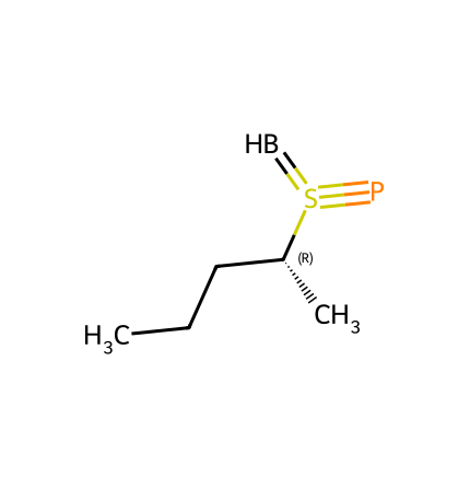 B=S(#P)[C@H](C)CCC